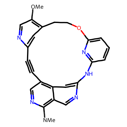 CNc1ncc2c3cc(ncc13)Nc1cccc(n1)OCCc1cc(ncc1OC)C#C2